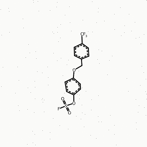 O=S(=O)(F)Oc1ccc(OCc2ccc(C(F)(F)F)cc2)cc1